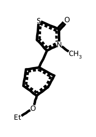 CCOc1ccc(-c2csc(=O)n2C)cc1